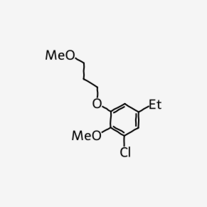 CCc1cc(Cl)c(OC)c(OCCCOC)c1